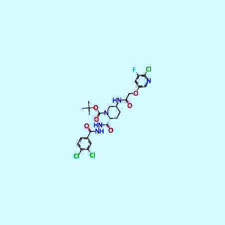 CC(C)(C)OC(=O)N1C[C@@H](NC(=O)COc2cnc(Cl)c(F)c2)CC[C@@H]1C(=O)NNC(=O)c1ccc(Cl)c(Cl)c1